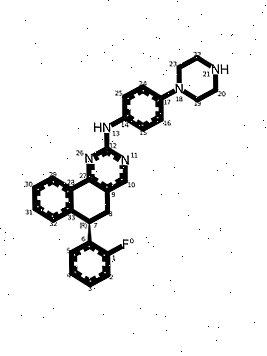 Fc1ccccc1[C@@H]1Cc2cnc(Nc3ccc(N4CCNCC4)cc3)nc2-c2ccccc21